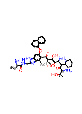 CC[C@@H](C)[C@@H](N)C(=O)NCc1nc2c(C(C)=O)c(C(=O)C(C(C)C)C(O)C(O)C(N)C(C(=O)[C@@H](N)[C@@H](C)O)C3CCCCC3)c(Oc3cccc4ccccc34)cc2[nH]1